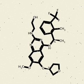 COc1cc2nc(NCCO)nc(N[C@H](C)c3cccc(C(F)(F)F)c3C)c2cc1O[C@H]1CCOC1